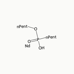 CCCCCOP(=O)(O)CCCCC.[Nd]